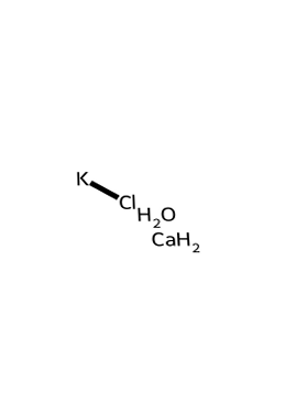 O.[CaH2].[Cl][K]